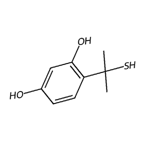 CC(C)(S)c1ccc(O)cc1O